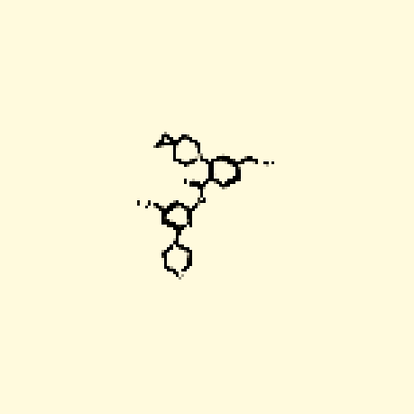 CSCc1ccc(C(=O)Nc2cc(C)cc(N3CCOCC3)n2)c(N2CCC3(CC2)CC3)c1